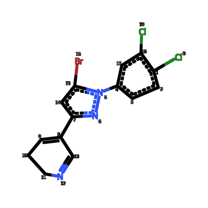 Clc1ccc(-n2nc(C3=CCCN=C3)cc2Br)cc1Cl